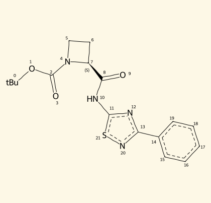 CC(C)(C)OC(=O)N1CC[C@H]1C(=O)Nc1nc(-c2ccccc2)ns1